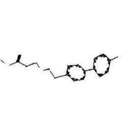 COC(=O)CCOCCc1ccc(-c2ccc(N)cc2)cc1